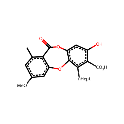 CCCCCCCc1c2c(cc(O)c1C(=O)O)OC(=O)c1c(C)cc(OC)cc1O2